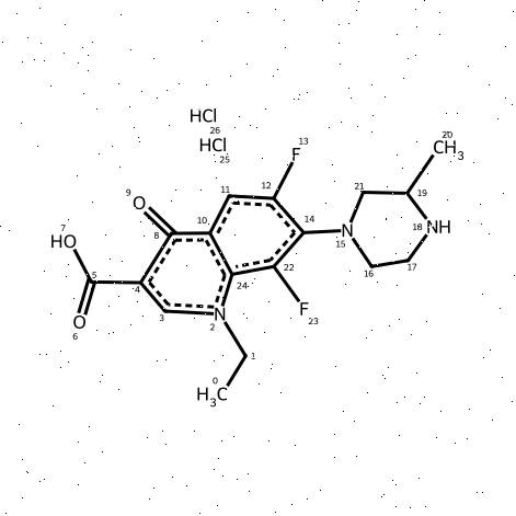 CCn1cc(C(=O)O)c(=O)c2cc(F)c(N3CCNC(C)C3)c(F)c21.Cl.Cl